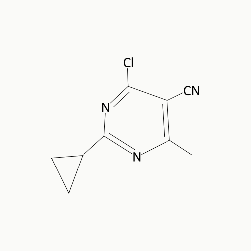 Cc1nc(C2CC2)nc(Cl)c1C#N